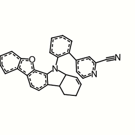 N#Cc1cc(-c2ccccc2N2c3c(ccc4c3oc3ccccc34)C3CCC=CC32)ccn1